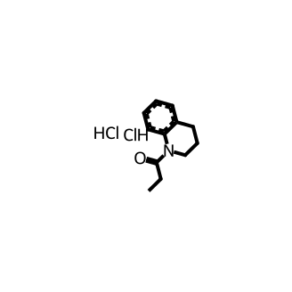 CCC(=O)N1CCCc2ccccc21.Cl.Cl